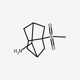 CS(=O)(=O)C12CC3CC1CC(C2)C3N